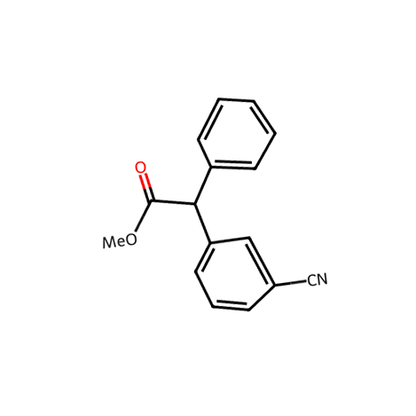 COC(=O)C(c1ccccc1)c1cccc(C#N)c1